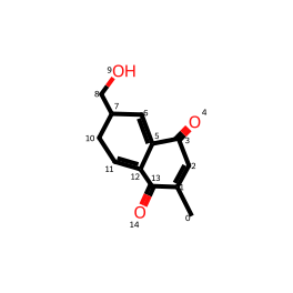 CC1=CC(=O)C2=CC(CO)CC=C2C1=O